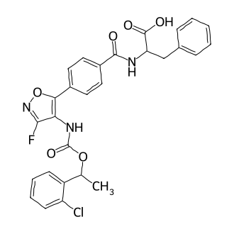 CC(OC(=O)Nc1c(F)noc1-c1ccc(C(=O)NC(Cc2ccccc2)C(=O)O)cc1)c1ccccc1Cl